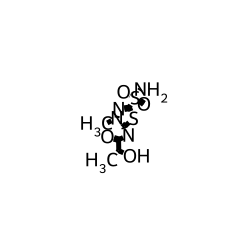 CC(O)C(=O)N=c1sc(S(N)(=O)=O)nn1C